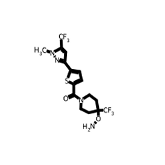 Cn1nc(-c2ccc(C(=O)N3CCC(ON)(C(F)(F)F)CC3)s2)cc1C(F)(F)F